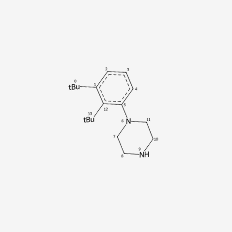 CC(C)(C)c1cccc(N2CCNCC2)c1C(C)(C)C